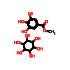 COC(=O)c1cc(O)c(O)c(O)c1.OC1C(O)C(O)C(O)C(O)C1O